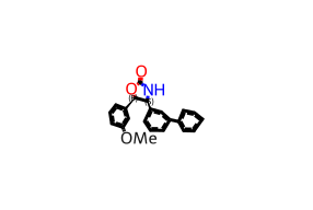 COc1cccc([C@H]2OC(=O)N[C@H]2c2cccc(-c3ccccc3)c2)c1